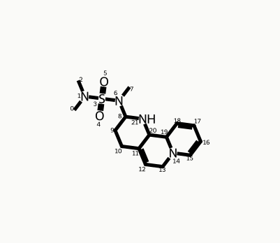 CN(C)S(=O)(=O)N(C)C1CCC2=CCN3C=CC=CC3C2N1